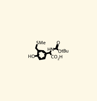 CSCc1cc(C(NC(=O)OC(C)(C)C)C(=O)O)ccc1O